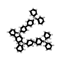 c1ccc(N(c2ccccc2)c2ccc(-c3ccc(-n4c5ccccc5c5cc6c7ccccc7n(-c7ccc(-c8ccc(N(c9ccccc9)c9ccccc9)cc8)cc7)c6cc54)cc3)cc2)cc1